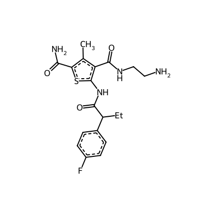 CCC(C(=O)Nc1sc(C(N)=O)c(C)c1C(=O)NCCN)c1ccc(F)cc1